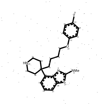 CNc1nc2c(C3(CCCCOc4ccc(F)cc4)CCNCC3)cccc2s1